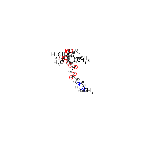 C=C[C@@]1(C)CC(=O)[C@@]2(O)[C@](C)(O1)[C@@H](OC(=O)COC(=O)CCN1CCN(C)CC1)C=C1C(C)(C)CC[C@H](O)[C@@]12C